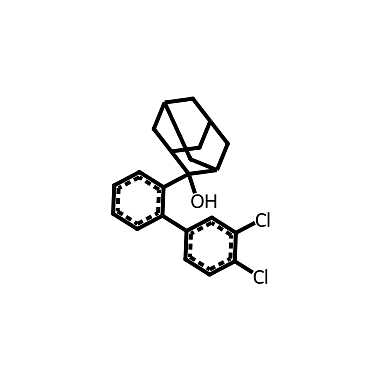 OC1(c2ccccc2-c2ccc(Cl)c(Cl)c2)C2CC3CC(C2)CC1C3